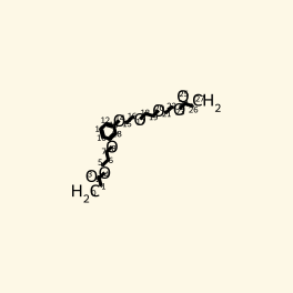 C=CC(=O)OCCCOc1cccc(OCCOCCOCCOC(=O)C=C)c1